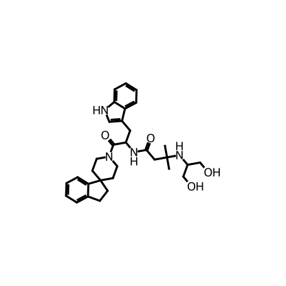 CC(C)(CC(=O)NC(Cc1c[nH]c2ccccc12)C(=O)N1CCC2(CCc3ccccc32)CC1)NC(CO)CO